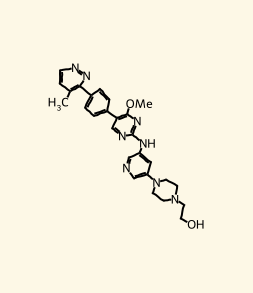 COc1nc(Nc2cncc(N3CCN(CCO)CC3)c2)ncc1-c1ccc(-c2nnccc2C)cc1